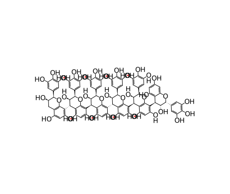 Oc1cc(O)c2c(c1)O[C@H](c1cc(O)c(O)c(O)c1)[C@H](O)[C@H]2c1c(O)cc(O)c2c1O[C@H](c1cc(O)c(O)c(O)c1)[C@H](O)[C@@H]2c1c(O)cc(O)c2c1O[C@H](c1cc(O)c(O)c(O)c1)[C@H](O)[C@H]2c1c(O)cc(O)c2c1O[C@H](c1cc(O)c(O)c(O)c1)[C@H](O)[C@@H]2c1c(O)cc(O)c2c1O[C@H](c1cc(O)c(O)c(O)c1)[C@H](O)[C@H]2c1c(O)cc(O)c2c1O[C@H](c1cc(O)c(O)c(O)c1)[C@H](O)C2